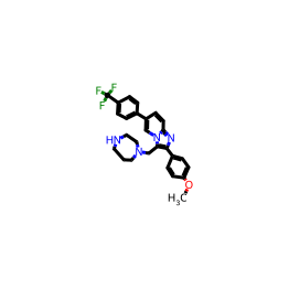 COc1ccc(-c2nc3ccc(-c4ccc(C(F)(F)F)cc4)cn3c2CN2CCCNCC2)cc1